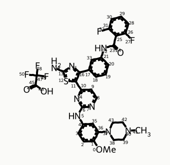 COc1ccc(Nc2nccc(-c3sc(N)nc3-c3cccc(NC(=O)c4c(F)cccc4F)c3)n2)cc1N1CCN(C)CC1.O=C(O)C(F)(F)F